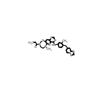 C=CC(=O)N1CCN(C)c2nc3c(Nc4ccc(Cc5ccn6ncnc6c5)c(C)c4)ncnc3cc2OC1